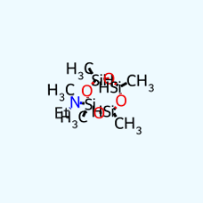 CCN(C)[Si]1(C)O[SiH](C)O[SiH](C)O[SiH](C)O1